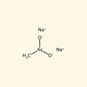 C[As]([O-])[O-].[Na+].[Na+]